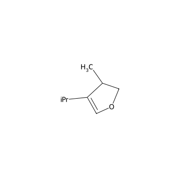 CC(C)C1=COCC1C